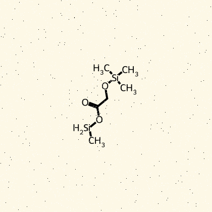 C[SiH2]OC(=O)CO[Si](C)(C)C